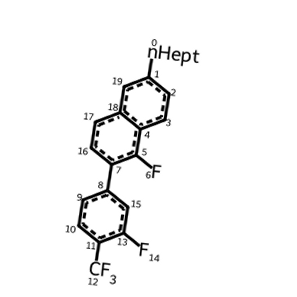 CCCCCCCc1ccc2c(F)c(-c3ccc(C(F)(F)F)c(F)c3)ccc2c1